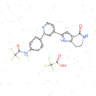 O=C(O)C(F)(F)F.O=C1NCCc2[nH]c(-c3ccnc(-c4ccc(NC(=O)C(F)(F)F)cc4)c3)cc21